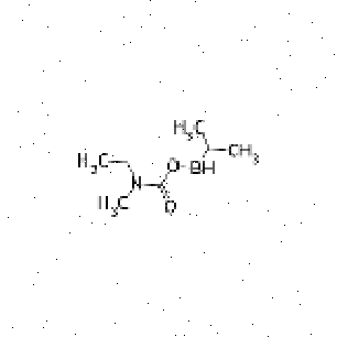 CCN(C)C(=O)OBC(C)C